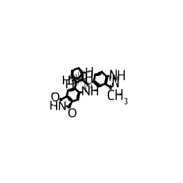 Cc1n[nH]c2ccc([C@@H]3Nc4cc5c(cc4[C@H]4[C@@H]6CC[C@@H](C6)[C@H]43)C(=O)NC5=O)cc12